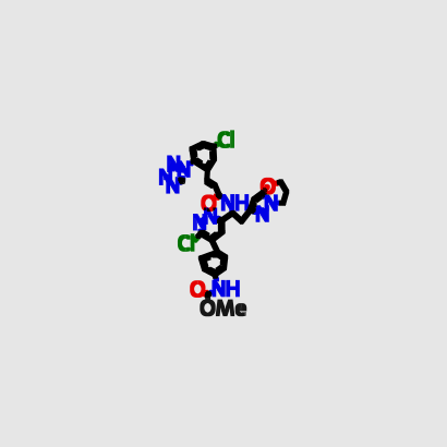 COC(=O)Nc1ccc(-c2cc(C(Cc3cc4n(n3)CCCO4)NC(=O)C=Cc3cc(Cl)ccc3-n3cnnn3)nnc2Cl)cc1